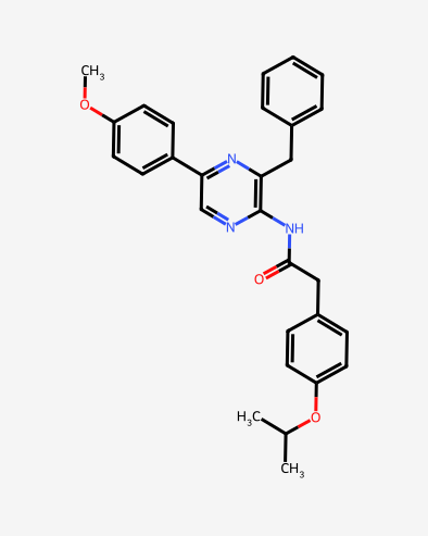 COc1ccc(-c2cnc(NC(=O)Cc3ccc(OC(C)C)cc3)c(Cc3ccccc3)n2)cc1